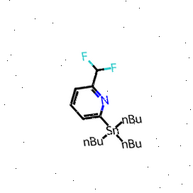 CCC[CH2][Sn]([CH2]CCC)([CH2]CCC)[c]1cccc(C(F)F)n1